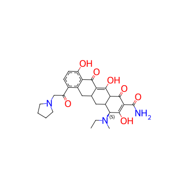 CCN(C)[C@@H]1C(O)=C(C(N)=O)C(=O)C2C(O)=C3C(=O)c4c(O)ccc(C(=O)CN5CCCC5)c4CC3CC21